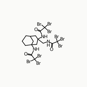 O=C(NCC1(NC(=O)C(Br)(Br)Br)CC2CCCC(NC(=O)C(Br)(Br)Br)(C2)C1)C(Br)(Br)Br